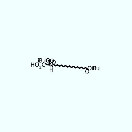 CC(C)COC(=O)CCCCCCCCCCCCCCCCC(=O)N[C@@H](CCC(=O)O)C(=O)OCC(C)C